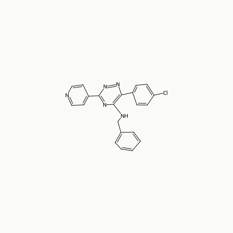 Clc1ccc(-c2nnc(-c3ccncc3)nc2NCc2ccccc2)cc1